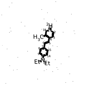 [2H]N1C=CC(/C=C/c2ccc(N(CC)CC)cc2)=C(C)C1